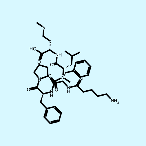 CSCC[C@H](NC(=O)[C@H](CC(C)C)N(C)C(=O)[C@@H]1CCCN1C(=O)[C@H](Cc1ccccc1)NC(=O)[C@H](Cc1ccccc1)NC(=O)CCCCN)C(=O)O